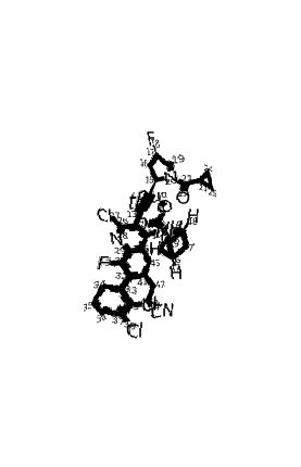 CC(C)(C)OC(=O)N1C[C@H]2C[C@@H]1[C@H]2Nc1c(C#C[C@H]2C[C@H](F)CN2C(=O)C2CC2)c(Cl)nc2c(F)c(-c3cccc(Cl)c3Cl)c(CCC#N)cc12